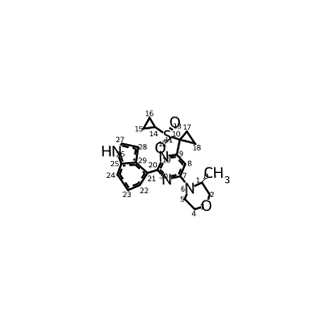 C[C@@H]1COCCN1c1cc(C2(S(=O)(=O)C3CC3)CC2)nc(-c2cccc3[nH]ccc23)n1